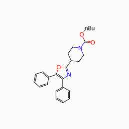 CCCCOC(=O)N1CCC(c2nc(-c3ccccc3)c(-c3ccccc3)o2)CC1